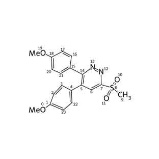 COc1ccc(-c2cc(S(C)(=O)=O)nnc2-c2ccc(OC)cc2)cc1